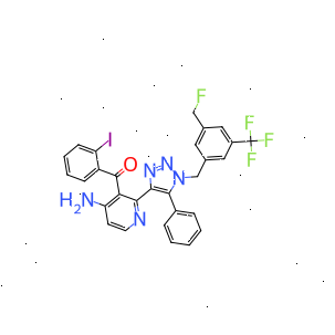 Nc1ccnc(-c2nnn(Cc3cc(CF)cc(C(F)(F)F)c3)c2-c2ccccc2)c1C(=O)c1ccccc1I